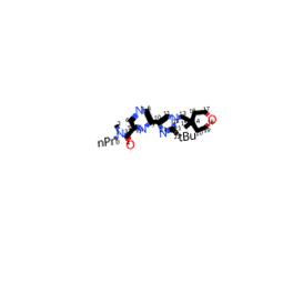 CCCN(C)C(=O)c1cncc(-c2cn(CC3(C)CCOCC3)c(C(C)(C)C)n2)n1